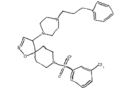 O=S(=O)(c1cccc(C(F)(F)F)c1)N1CCC2(CC1)ON=[C]C2N1CCN(CCCc2ccccc2)CC1